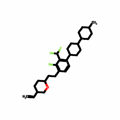 C=CC1CCC(CCc2ccc(C3CCC(C4CCC(C)CC4)CC3)c(C(F)F)c2F)OC1